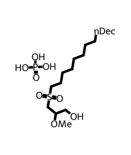 CCCCCCCCCCCCCCCCCCS(=O)(=O)CC(CO)OC.O=P(O)(O)O